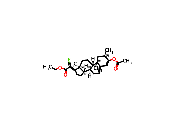 CCOC(=O)C(F)=C1CC[C@H]2[C@@H]3CC=C4C=C(OC(C)=O)[C@H](C)C[C@]4(C)[C@H]3CC[C@]12C